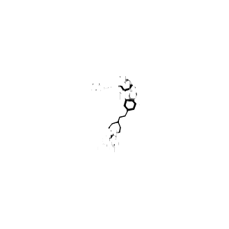 COc1ncnc(Oc2ccc(CCC3CCN(C(=O)OC(C)(C)C)CC3)cc2)c1[N+](=O)[O-]